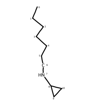 CCCCCCCNC1CC1